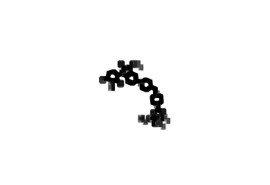 Cn1c(=O)n(C2CCC(=O)NC2=O)c2ccc(N3CCC(CN4CCN(C(=O)OC(C)(C)C)CC4)CC3)cc21